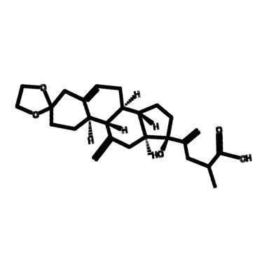 C=C1C[C@@]2(C)[C@@H](CC[C@]2(O)C(=C)CC(C)C(=O)O)[C@@H]2CC=C3CC4(CC[C@@H]3[C@@H]12)OCCO4